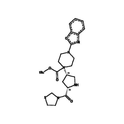 CC(C)(C)OC(=O)[N+]1([C@@H]2CN[C@H](C(=O)N3CCSC3)C2)CCN(c2nc3ccccc3o2)CC1